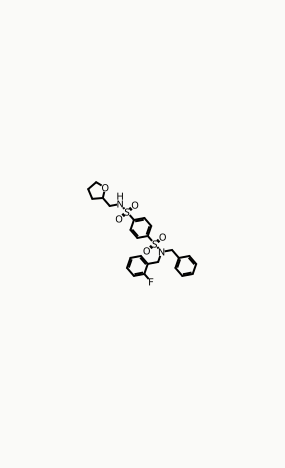 O=S(=O)(NCC1CCCO1)c1ccc(S(=O)(=O)N(Cc2ccccc2)Cc2ccccc2F)cc1